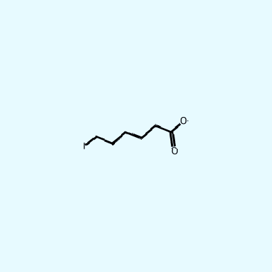 [O]C(=O)CCCCCI